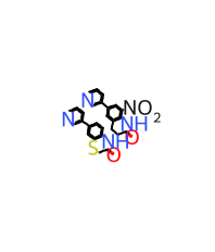 O=C1CCc2cc(-c3cccnc3)cc([N+](=O)[O-])c2N1.O=C1CSc2cc(-c3cccnc3)ccc2N1